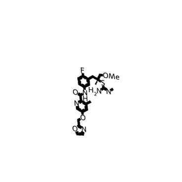 C/N=C(/N)S[C@@](C)(COC)Cc1cc(NC(=O)c2ncc(OCc3ncco3)cc2C)ccc1F